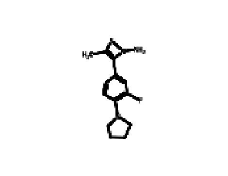 Cc1sn(N)c1-c1ccc(N2CCCC2)c(F)c1